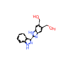 OCc1cc2nc(-c3n[nH]c4ccccc34)[nH]c2cc1CO